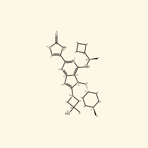 C[C@@H](Nc1nc(-c2noc(=O)[nH]2)nc2nc(N3CC(C)(O)C3)n(C[C@H]3CC[C@H](C)CC3)c12)C1CCC1